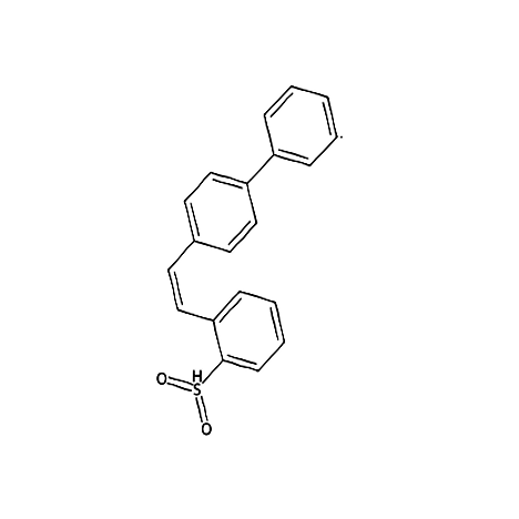 O=[SH](=O)c1ccccc1/C=C\c1ccc(-c2c[c]ccc2)cc1